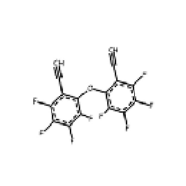 C#Cc1c(F)c(F)c(F)c(F)c1Oc1c(F)c(F)c(F)c(F)c1C#C